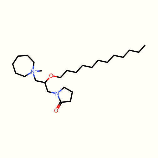 CCCCCCCCCCCCOC(CN1CCCC1=O)C[N+]1(C)CCCCCC1